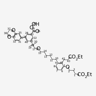 CCOC(=O)CCCOc1cccc(CCCCCCOCC(C)(C)c2cc(C(=O)OO)cc(-c3ccc4c(c3)OCCO4)c2)c1CCC(=O)OCC